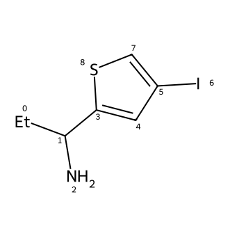 CCC(N)c1cc(I)cs1